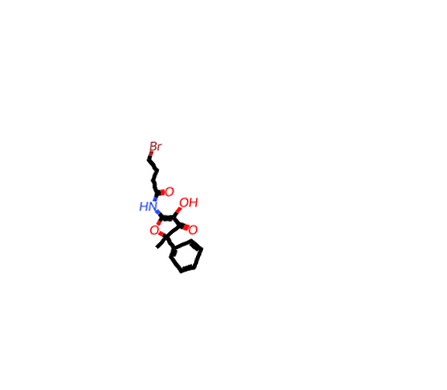 CC1(c2ccccc2)OC(NC(=O)CCCBr)=C(O)C1=O